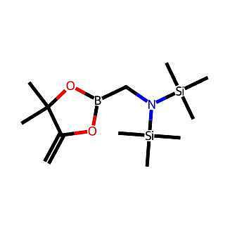 C=C1OB(CN([Si](C)(C)C)[Si](C)(C)C)OC1(C)C